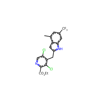 CCOC(=O)c1ncc(Cl)c(Cc2cc3c(C)cc(C(F)(F)F)cc3[nH]2)c1Cl